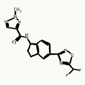 Cn1ncc(C(=O)NC2CCc3cc(-c4noc(C(F)F)n4)ccc32)n1